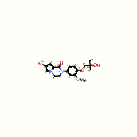 COc1cc(N2CCn3cc(Br)cc3C2=O)ccc1OCC(C)(C)O